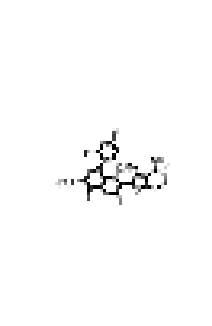 COc1c(-c2cc3c(s2)CCCC3N)c(F)cc2c(=O)c(C(=O)O)cn(-c3ccc(F)cc3F)c12